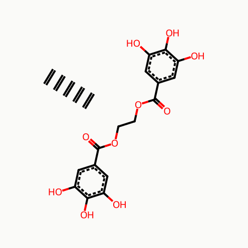 C=C.C=C.C=C.C=C.C=C.O=C(OCCOC(=O)c1cc(O)c(O)c(O)c1)c1cc(O)c(O)c(O)c1